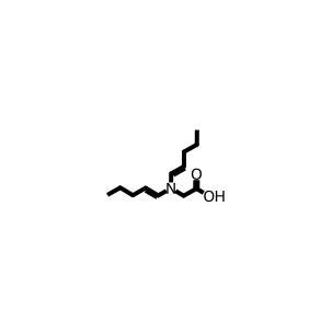 CCCC=CN(C=CCCC)CC(=O)O